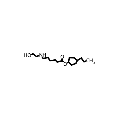 CCCC1CCC(OC(=O)CCCCCNCCO)CC1